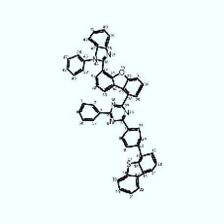 c1ccc(-c2nc(-c3ccc(-c4cccc5c4sc4ccccc45)cc3)nc(-c3cccc4oc5c(-c6nc7ccccc7n6-c6ccccc6)cccc5c34)n2)cc1